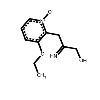 CCOc1ccc[n+]([O-])c1CC(=N)CO